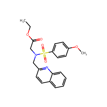 CCOC(=O)CN(Cc1ccc2ccccc2n1)S(=O)(=O)c1ccc(OC)cc1